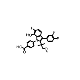 COCC(C)(C)c1c(-c2ccc(F)c(F)c2)c2ccc(F)c(O)c2n1-c1ccc(C(=O)O)cc1